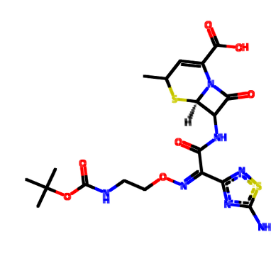 CC1C=C(C(=O)O)N2C(=O)C(NC(=O)/C(=N\OCCNC(=O)OC(C)(C)C)c3nsc(N)n3)[C@H]2S1